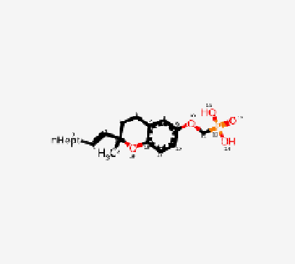 CCCCCCC/C=C/C1(C)CCc2cc(OCP(=O)(O)O)ccc2O1